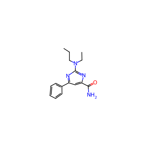 CCCN(CC)c1nc(C(N)=O)cc(-c2ccccc2)n1